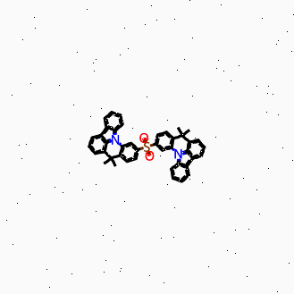 CC1(C)c2ccc(S(=O)(=O)c3ccc4c(c3)-n3c5ccccc5c5cccc(c53)C4(C)C)cc2-n2c3ccccc3c3cccc1c32